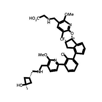 COc1nc(-c2cccc(-c3cccc4c3CC[C@@H]4Oc3nc(OC)c(CNCC(=O)O)cc3C(F)(F)F)c2Cl)ccc1CNC[C@H]1C[C@](C)(O)C1